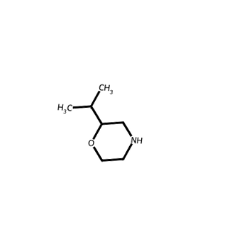 C[C](C)C1CNCCO1